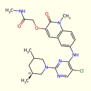 CNC(=O)COc1cc2cc(Nc3nc(N4CC(C)C[C@H](C)C4)ncc3Cl)ccc2n(C)c1=O